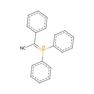 N#CC(c1ccccc1)=[PH](c1ccccc1)c1ccccc1